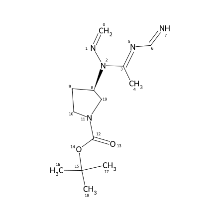 C=NN(/C(C)=N/C=N)[C@@H]1CCN(C(=O)OC(C)(C)C)C1